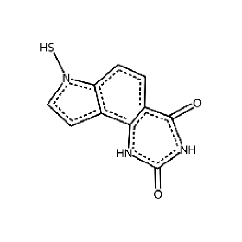 O=c1[nH]c(=O)c2ccc3c(ccn3S)c2[nH]1